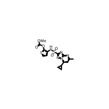 COC(=O)Oc1sccc1NS(=O)(=O)c1nc2nc(C)cc(C3CC3)n2n1